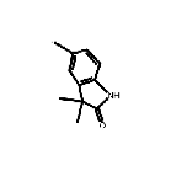 [CH2]c1ccc2c(c1)C(C)(C)C(=O)N2